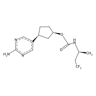 C[C@@H](CC(F)(F)F)NC(=O)O[C@@H]1CC[C@H](c2cnc(N)nc2)C1